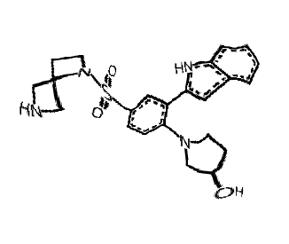 O=S(=O)(c1ccc(N2CCC(O)C2)c(-c2cc3ccccc3[nH]2)c1)N1CCC12CNC2